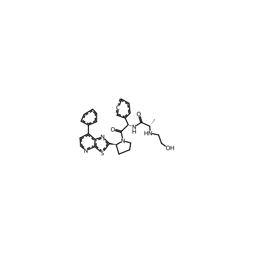 C[C@H](NCCO)C(=O)N[C@H](C(=O)N1CCC[C@H]1c1nc2c(-c3ccccc3)ccnc2s1)c1ccccc1